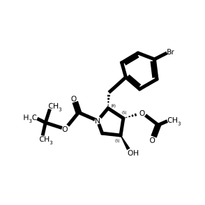 CC(=O)O[C@H]1[C@@H](Cc2ccc(Br)cc2)N(C(=O)OC(C)(C)C)C[C@@H]1O